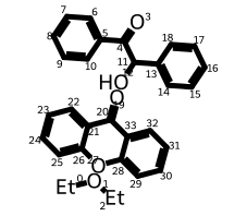 CCOCC.O=C(c1ccccc1)C(O)c1ccccc1.O=c1c2ccccc2oc2ccccc12